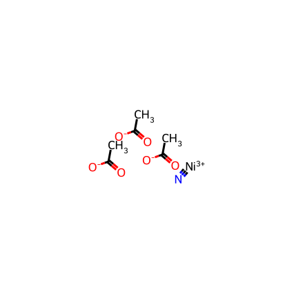 CC(=O)[O-].CC(=O)[O-].CC(=O)[O-].[N]#[Ni+3]